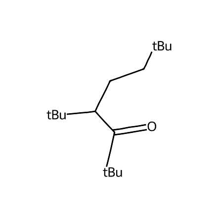 CC(C)(C)CCC(C(=O)C(C)(C)C)C(C)(C)C